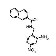 Nc1cc([N+](=O)[O-])ccc1CNC(=O)c1ccc2ccccc2c1